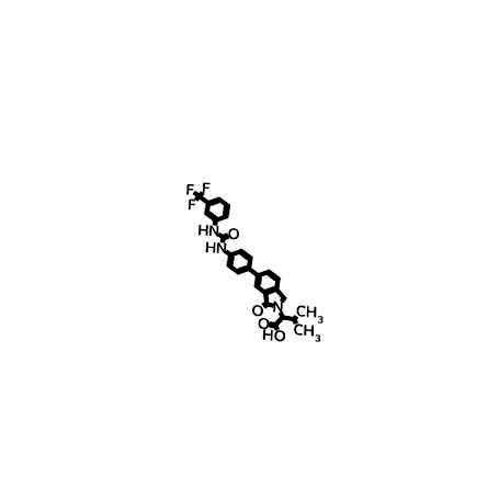 CC(C)C(C(=O)O)N1Cc2ccc(-c3ccc(NC(=O)Nc4cccc(C(F)(F)F)c4)cc3)cc2C1=O